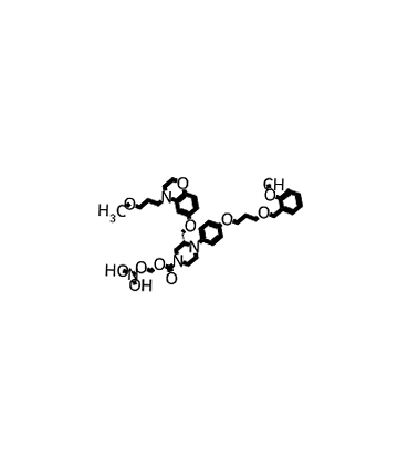 COCCCN1CCOc2ccc(OC[C@H]3CN(C(=O)OCON(O)O)CCN3c3ccc(OCCCOCc4ccccc4OC)cc3)cc21